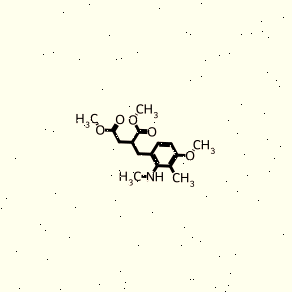 CNc1c(CC(CC(=O)OC)C(=O)OC)ccc(OC)c1C